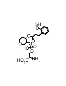 N[C@@H](COP(=O)(O)OC1COCC[C@@H]1OC(=O)CCc1ccccc1OS)C(=O)O